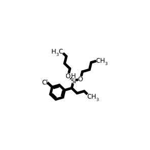 CCCCO[SiH](OCCCC)C(CCC)c1cccc(Cl)c1